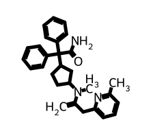 C=C(Cc1cccc(C)n1)N(C)C1CCC(C(C(N)=O)(c2ccccc2)c2ccccc2)C1